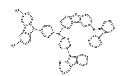 Cc1ccc2c(c1)c1cc(C)ccc1n2-c1ccc(N(c2ccc(-n3c4ccccc4c4ccccc43)cc2)c2ccc3oc4ccc(-n5c6ccccc6c6ccccc65)cc4c3c2)cc1